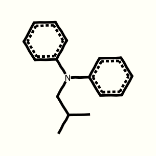 CC(C)CN(c1ccccc1)c1ccccc1